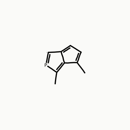 CC1=CC=C2[C]=PC(C)=C12